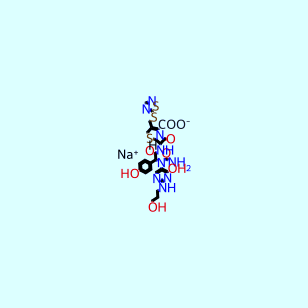 NC(=O)N(c1cnc(NCCCO)nc1O)C(C(=O)NC1C(=O)N2C(C(=O)[O-])=C(CSc3ncns3)CS[C@@H]12)c1ccc(O)cc1.[Na+]